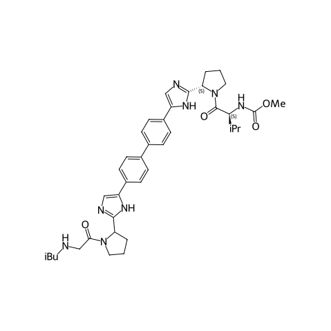 CCC(C)NCC(=O)N1CCCC1c1ncc(-c2ccc(-c3ccc(-c4cnc([C@@H]5CCCN5C(=O)[C@@H](NC(=O)OC)C(C)C)[nH]4)cc3)cc2)[nH]1